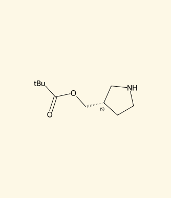 CC(C)(C)C(=O)OC[C@H]1CCNC1